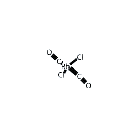 O=[C]=[Rh]([Cl])([Cl])=[C]=O